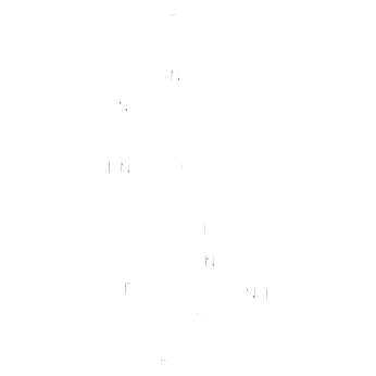 C[C@@]1(c2cc(NC(=O)c3cnc(CF)cn3)ccc2F)C=C(CF)OC(N)=N1